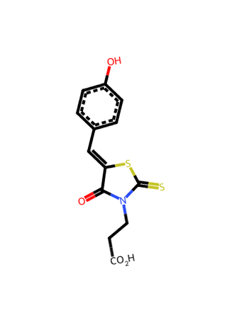 O=C(O)CCN1C(=O)/C(=C/c2ccc(O)cc2)SC1=S